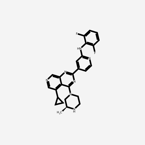 C[C@H]1CN(c2nc(-c3ccnc(Nc4c(F)cccc4F)c3)nc3cncc(C4CC4)c23)CCN1